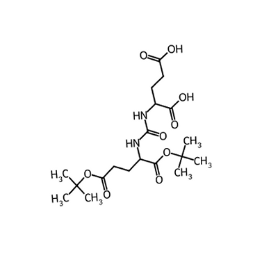 CC(C)(C)OC(=O)CCC(NC(=O)NC(CCC(=O)O)C(=O)O)C(=O)OC(C)(C)C